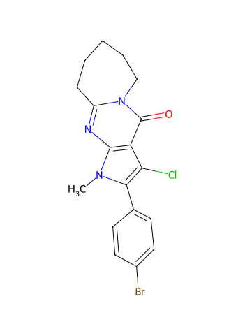 Cn1c(-c2ccc(Br)cc2)c(Cl)c2c(=O)n3c(nc21)CCCCC3